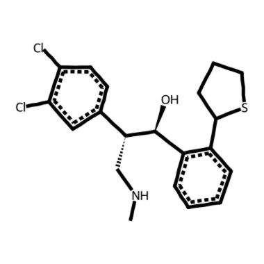 CNC[C@H](c1ccc(Cl)c(Cl)c1)[C@@H](O)c1ccccc1C1CCCS1